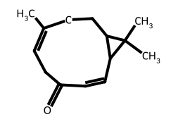 CC1=CCC(=O)C=CC2C(CC1)C2(C)C